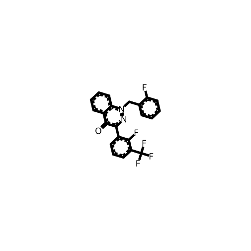 O=c1c(-c2cccc(C(F)(F)F)c2F)nn(Cc2ccccc2F)c2ccccc12